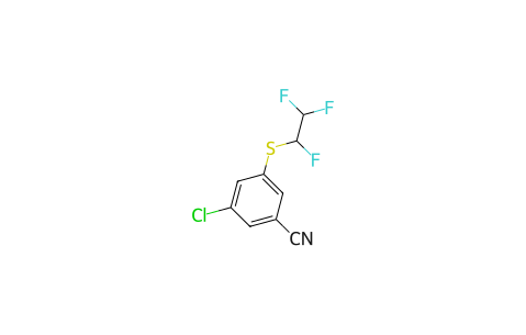 N#Cc1cc(Cl)cc(SC(F)C(F)F)c1